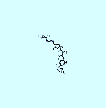 C=C(Cl)/C=C\C=C/CN1CCc2nc(NC(=O)Cc3c(F)cc(S(=O)(=O)CC)cc3F)sc2C1=O